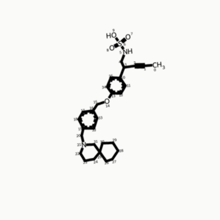 CC#CC(CNS(=O)(=O)O)c1ccc(OCc2ccc(CN3CCCC4(CCCCC4)C3)cc2)cc1